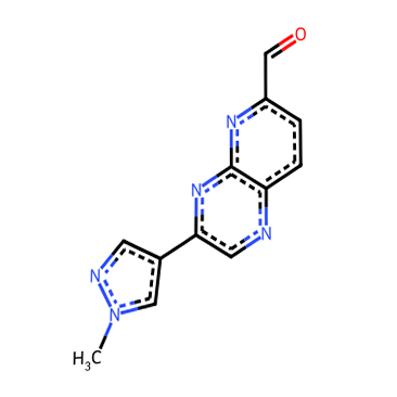 Cn1cc(-c2cnc3ccc(C=O)nc3n2)cn1